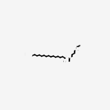 C=CC(=O)NCCCC[C@H](NC(=O)CCCCCCCCCCCCCCC)C(=O)O